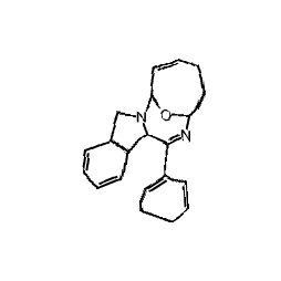 C1=CC2CN3C4C=CCCC(N=C(C5=CCCC=C5)C3C2C=C1)O4